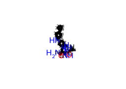 N#CCC1(N/C=C(\C(=N)NC(=O)C2CC2)C(N)=O)CCC(Nc2ccc(C3=CCCC3)cc2)CC1